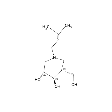 CC(C)=CCN1C[C@H](CO)[C@@H](O)[C@H](O)C1